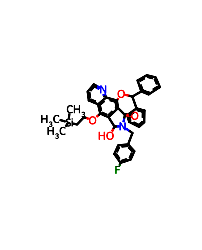 C[Si](C)(C)CCOc1c2c(c(OC(c3ccccc3)c3ccccc3)c3ncccc13)C(=O)N(Cc1ccc(F)cc1)C2O